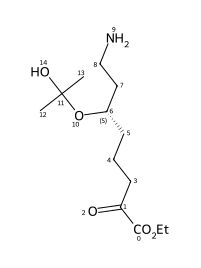 CCOC(=O)C(=O)CCC[C@@H](CCN)OC(C)(C)O